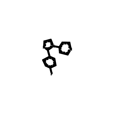 Fc1ccc(-c2nccn2-c2ccncc2)cc1